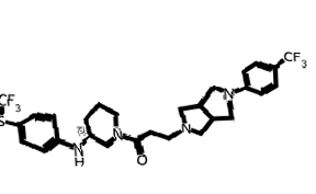 O=C(CCN1CC2CN(c3ccc(C(F)(F)F)cc3)CC2C1)N1CCC[C@H](Nc2ccc(SC(F)(F)F)cc2)C1